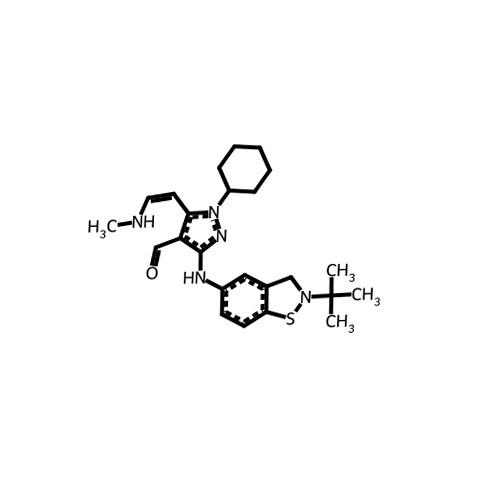 CN/C=C\c1c(C=O)c(Nc2ccc3c(c2)CN(C(C)(C)C)S3)nn1C1CCCCC1